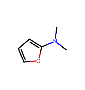 CN(C)c1cc[c]o1